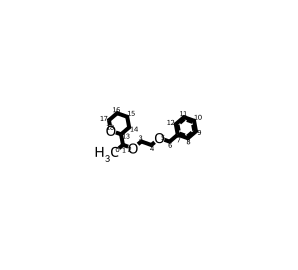 CC(OCCOCc1ccccc1)C1CCCCO1